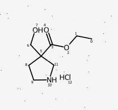 CCOC(=O)C1(CO)CCNC1.Cl